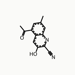 CC(=O)c1cc(C)cc2nc(C#N)c(O)cc12